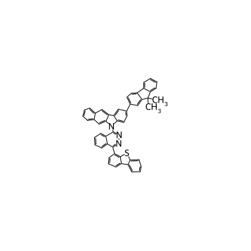 CC1(C)c2ccccc2-c2ccc(-c3ccc4c(c3)c3cc5ccccc5cc3n4-c3nnc(-c4cccc5c4sc4ccccc45)c4ccccc34)cc21